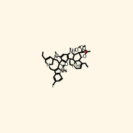 CCC1=C[C@H]2CN(C1)Cc1c([nH]c3ccc(I)cc13)[C@@](C(=O)OC)(c1cc3c(cc1OC)N(C)[C@H]1[C@@](OC)(C(=O)OC)[C@H](OC(C)=O)C4C(CC)=CCN5CC[C@]31[C@H]45)C2